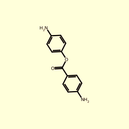 Nc1ccc(OC(=O)c2ccc(N)cc2)cc1